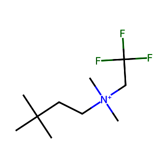 CC(C)(C)CC[N+](C)(C)CC(F)(F)F